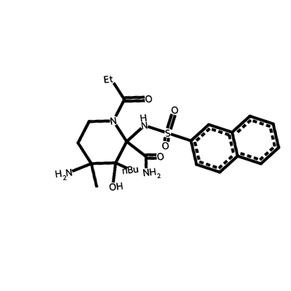 CCCCC1(O)C(C)(N)CCN(C(=O)CC)C1(NS(=O)(=O)c1ccc2ccccc2c1)C(N)=O